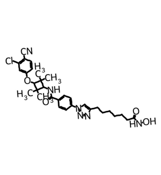 CC1(C)C(NC(=O)c2ccc(-n3cc(CCCCCCC(=O)NO)nn3)cc2)C(C)(C)C1Oc1ccc(C#N)c(Cl)c1